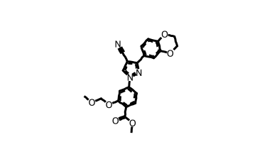 COCOc1cc(-n2cc(C#N)c(-c3ccc4c(c3)OCCO4)n2)ccc1C(=O)OC